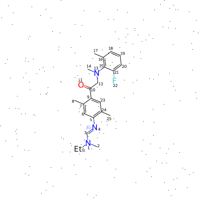 CCN(C)/C=N/c1cc(C)c(C(=O)CN(C)c2c(C)cccc2F)cc1C